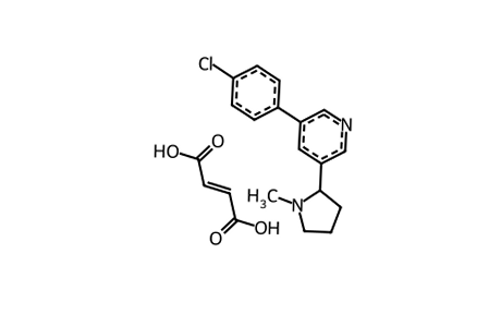 CN1CCCC1c1cncc(-c2ccc(Cl)cc2)c1.O=C(O)C=CC(=O)O